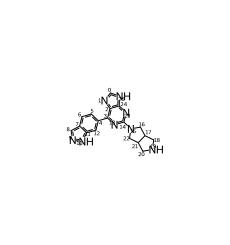 c1nc2c(-c3ccc4cn[nH]c4c3)nc(N3CC4CNCC4C3)nc2[nH]1